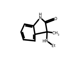 CCNC1(C)C(=O)Nc2ccccc21